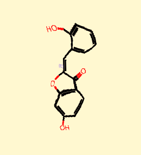 O=C1/C(=C\c2ccccc2O)Oc2cc(O)ccc21